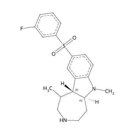 CC1CNCC[C@H]2[C@H]1c1cc(S(=O)(=O)c3cccc(F)c3)ccc1N2C